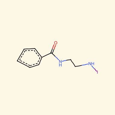 O=C(NCCNI)c1ccccc1